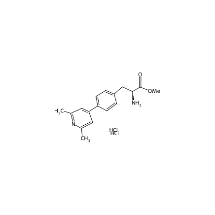 COC(=O)[C@@H](N)Cc1ccc(-c2cc(C)nc(C)c2)cc1.Cl.Cl